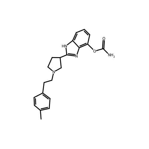 Cc1ccc(CCN2CCC(c3nc4c(OC(N)=O)cccc4[nH]3)C2)cc1